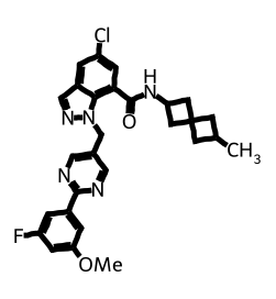 COc1cc(F)cc(-c2ncc(Cn3ncc4cc(Cl)cc(C(=O)NC5CC6(CC(C)C6)C5)c43)cn2)c1